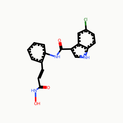 O=C(/C=C/c1ccccc1NC(=O)c1c[nH]c2ccc(Cl)cc12)NO